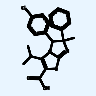 CC(C)C1=C(C(=O)O)SC2=NC(C)(c3ccccc3)C(c3ccc(Cl)cc3)N21